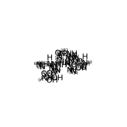 CCNC(=O)[C@H]1O[C@@H](n2cnc3c(NC4CCN(C(=O)N5CC[C@@H](Nc6nc(NCCc7cn(C)cn7)nc7c6ncn7[C@@H]6O[C@H](C(=O)NCC)[C@@H](O)[C@H]6O)C5)CC4)nc(NCCc4cn(C)cn4)nc32)[C@H](O)[C@@H]1O